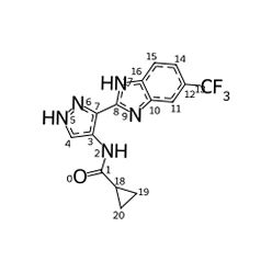 O=C(Nc1c[nH]nc1-c1nc2cc(C(F)(F)F)ccc2[nH]1)C1CC1